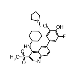 CS(=O)(=O)c1cnc2ccc(-c3cc(F)c(O)c(Cl)c3)cc2c1N[C@H]1CC[C@H](CN2CCCC2)CC1